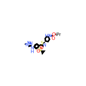 CC(C)OC(=O)N[C@H]1CC[C@H](c2ncc(-c3ccc(Nc4cn(C)nn4)cc3S(=O)(=O)C3CC3)s2)CC1